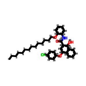 CCCCCCCCCCCCCCOc1ccccc1NC(=O)c1cc(Oc2ccc(Cl)cc2)c2ccccc2c1O